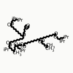 CC(C)CCC(CCOC(=O)CCCCCCCCCC(CCCCCCCCCC(=O)OCCC(CCC(C)C)C(C)CCC(C)CCC(COC(=O)CCCCCCCCCC(CCCCCCCCCC(=O)OCC(CCC(C)C)C(C)C)OCCCN1CCOCC1)C(C)C)OC(=O)CCCN(C)C)C(C)C